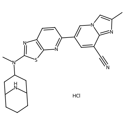 Cc1cn2cc(-c3ccc4nc(N(C)C5CC6CCCC(C5)N6)sc4n3)cc(C#N)c2n1.Cl